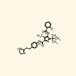 Cc1c(C(=O)Nc2ccc(CCC3=NCCN3)cc2)nn(C(C)(C)C)c1NC(=O)c1ccccc1F